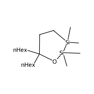 CCCCCCC1(CCCCCC)CC[Si](C)(C)[Si](C)(C)O1